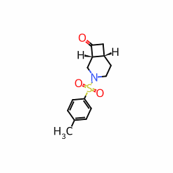 Cc1ccc(S(=O)(=O)N2CC[C@H]3CC(=O)[C@H]3C2)cc1